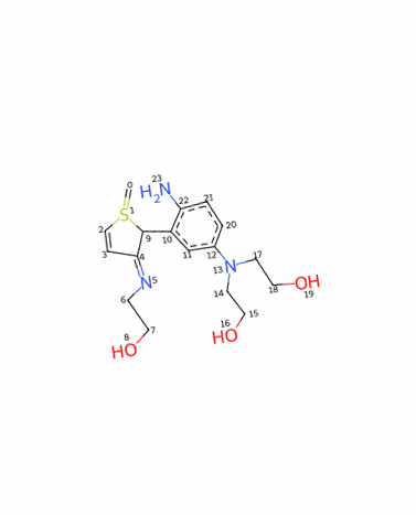 C=S1C=CC(=NCCO)C1c1cc(N(CCO)CCO)ccc1N